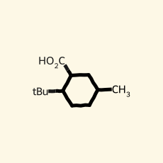 CC1CCC(C(C)(C)C)C(C(=O)O)C1